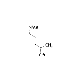 CCCC(C)CCCNC